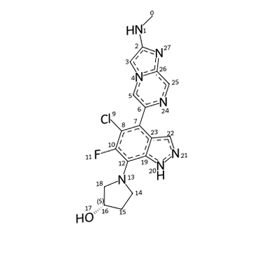 CNc1cn2cc(-c3c(Cl)c(F)c(N4CC[C@H](O)C4)c4[nH]ncc34)ncc2n1